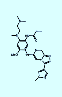 C=CC(=O)Nc1cc(Nc2cn3c(-c4cnn(C)c4)cnc3cn2)c(OC)cc1N(C)CCN(C)C